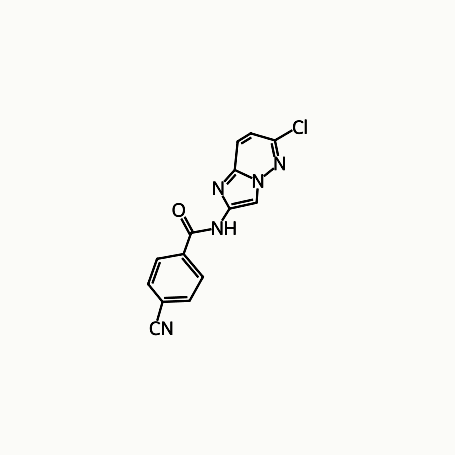 N#Cc1ccc(C(=O)Nc2cn3nc(Cl)ccc3n2)cc1